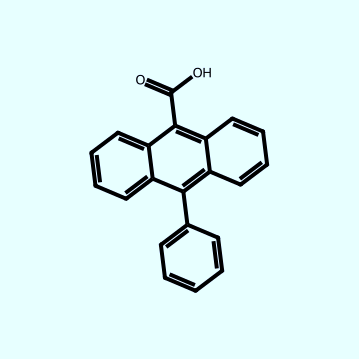 O=C(O)c1c2ccccc2c(-c2ccccc2)c2ccccc12